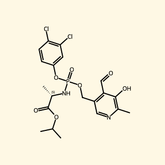 Cc1ncc(COP(=O)(N[C@@H](C)C(=O)OC(C)C)Oc2ccc(Cl)c(Cl)c2)c(C=O)c1O